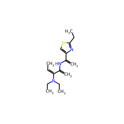 C=C(NC(=C)c1csc(CC)n1)/C(=C\C)N(CC)CC